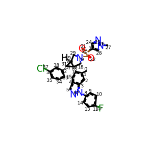 Cc1cc2c(cnn2-c2ccc(F)cc2)cc1[C@@]12CN(S(=O)(=O)c3cnn(C)c3)C[C@@H]1[C@H]2c1cccc(Cl)c1